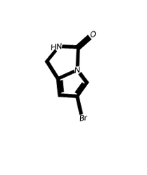 O=C1NCc2cc(Br)cn21